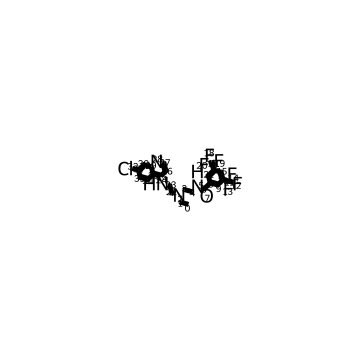 CCN(CCNC(=O)c1cc(C(F)(F)F)cc(C(F)(F)F)c1)CCNc1ccnc2cc(Cl)ccc12